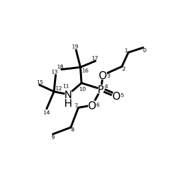 CCCOP(=O)(OCCC)C(NC(C)(C)C)C(C)(C)C